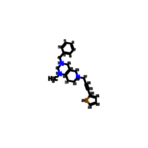 CN1CN(Cc2ccccc2)CC2=C1CCN(CC#Cc1cccs1)C2